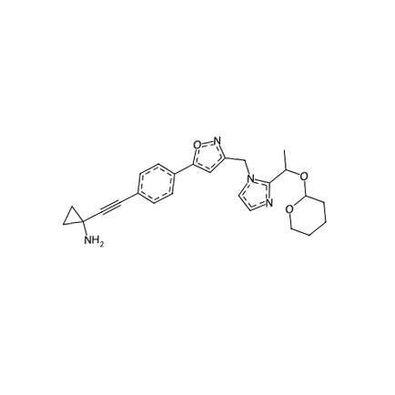 CC(OC1CCCCO1)c1nccn1Cc1cc(-c2ccc(C#CC3(N)CC3)cc2)on1